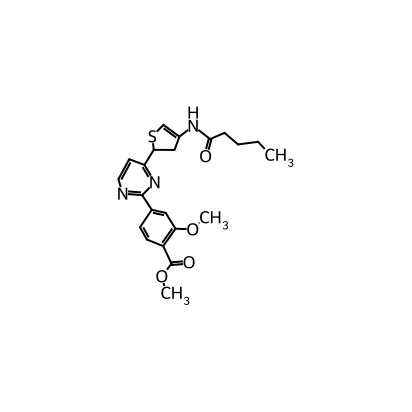 CCCCC(=O)NC1=CSC(c2ccnc(-c3ccc(C(=O)OC)c(OC)c3)n2)C1